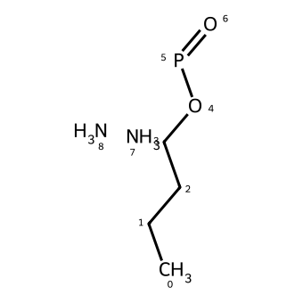 CCCCOP=O.N.N